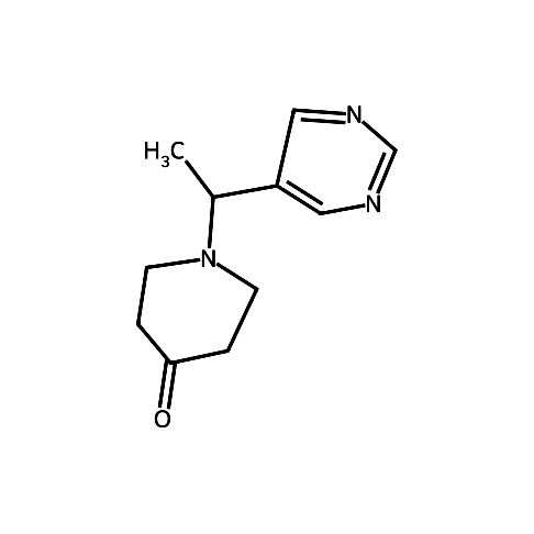 CC(c1cncnc1)N1CCC(=O)CC1